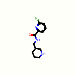 O=C(NCC1CCCNC1)c1cccc(Br)n1